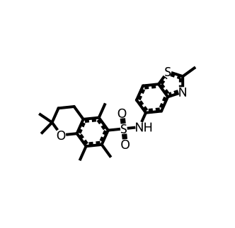 Cc1nc2cc(NS(=O)(=O)c3c(C)c(C)c4c(c3C)CCC(C)(C)O4)ccc2s1